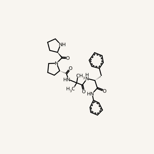 CC(C)(NC(=O)[C@@H]1CCCN1C(=O)[C@H]1CCCN1)C(=O)N[C@H](Cc1ccccc1)C(=O)Nc1ccccc1